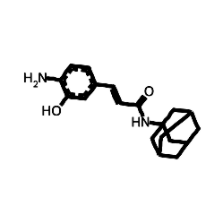 Nc1ccc(C=CC(=O)NC23CC4CC(CC(C4)C2)C3)cc1O